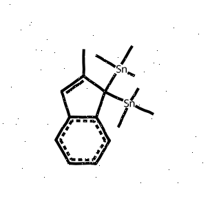 CC1=Cc2ccccc2[C]1([Sn]([CH3])([CH3])[CH3])[Sn]([CH3])([CH3])[CH3]